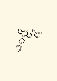 CCN(CC)C(=N)c1ccc2c(c1)Oc1ccccc1N2C1CCN(C(=O)OC(C)(C)C)CC1